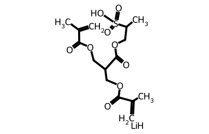 C=C(C)C(=O)OCC(COC(=O)C(=C)C)C(=O)OCC(C)S(=O)(=O)O.[LiH]